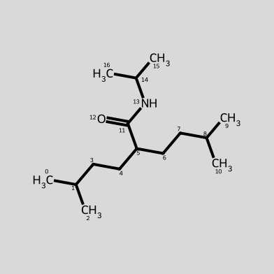 CC(C)CCC(CCC(C)C)C(=O)NC(C)C